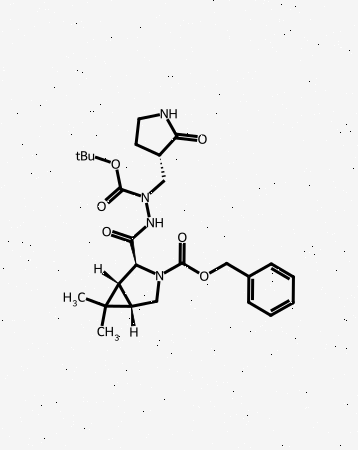 CC(C)(C)OC(=O)N(C[C@@H]1CCNC1=O)NC(=O)[C@@H]1[C@@H]2[C@H](CN1C(=O)OCc1ccccc1)C2(C)C